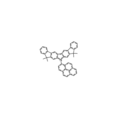 CC1(C)c2ccccc2-c2cc3c4cc5c(cc4n(-c4ccc6ccc7cccc8ccc4c6c78)c3cc21)C(C)(C)c1ccccc1-5